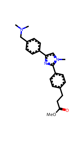 COC(=O)CCc1ccc(-c2nc(-c3ccc(CN(C)C)cc3)cn2C)cc1